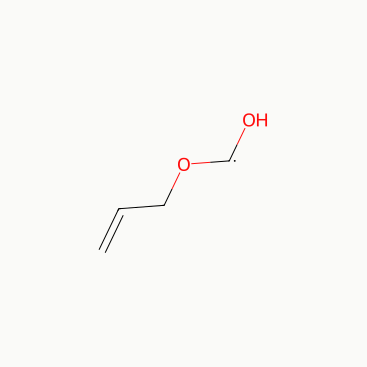 C=CCO[CH]O